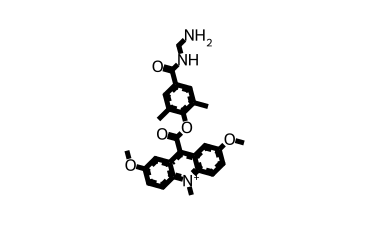 COc1ccc2c(c1)c(C(=O)Oc1c(C)cc(C(=O)NCN)cc1C)c1cc(OC)ccc1[n+]2C